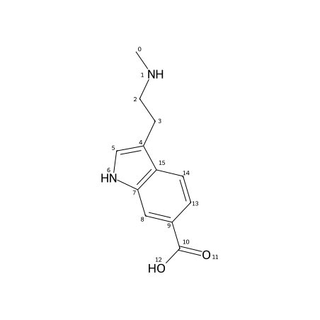 CNCCc1c[nH]c2cc(C(=O)O)ccc12